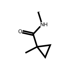 [CH2]NC(=O)C1(C)CC1